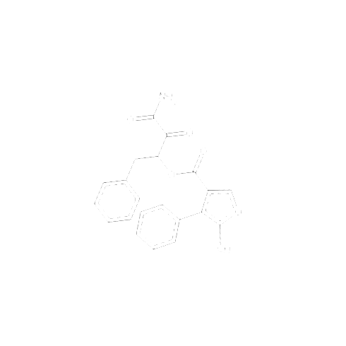 Cc1occ(C(=O)OC(Cc2ccccc2)C(=O)C(N)=O)c1-c1ccccc1